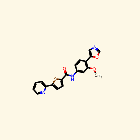 COc1cc(NC(=O)c2ccc(-c3ccccn3)s2)ccc1-c1cnco1